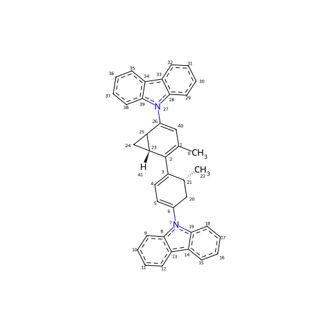 CC1=C(C2=CC=C(n3c4ccccc4c4ccccc43)C[C@H]2C)[C@@H]2CC2C(n2c3ccccc3c3ccccc32)=C1